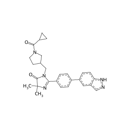 CC1(C)N=C(c2ccc(-c3ccc4[nH]ncc4c3)cc2)N(CC2CCN(C(=O)C3CC3)C2)C1=O